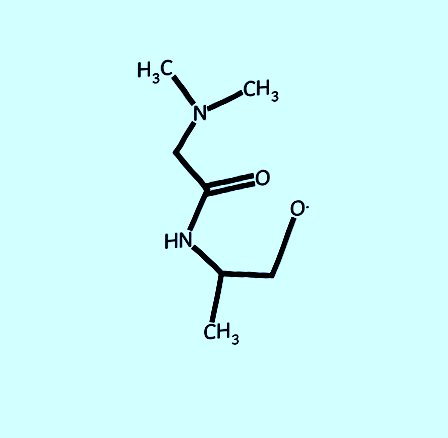 CC(C[O])NC(=O)CN(C)C